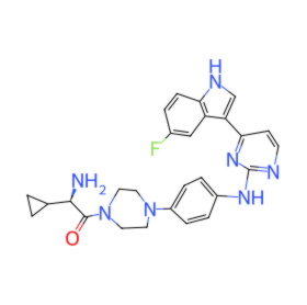 N[C@@H](C(=O)N1CCN(c2ccc(Nc3nccc(-c4c[nH]c5ccc(F)cc45)n3)cc2)CC1)C1CC1